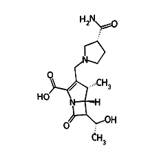 C[C@@H](O)C1C(=O)N2C(C(=O)O)=C(CN3CC[C@@H](C(N)=O)C3)[C@H](C)[C@H]12